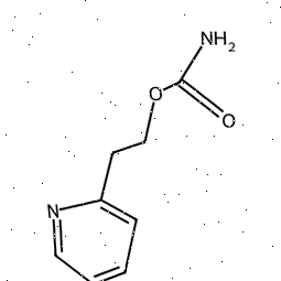 NC(=O)OCCc1ccccn1